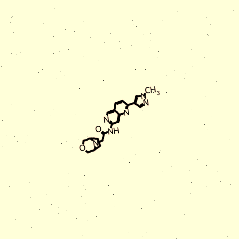 Cn1cc(-c2ccc3cnc(NC(=O)CN4C5CCC4COC5)cc3n2)cn1